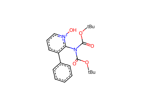 CC(C)(C)OC(=O)N(C(=O)OC(C)(C)C)c1c(-c2ccccc2)ccc[n+]1O